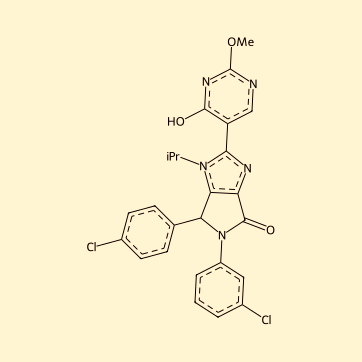 COc1ncc(-c2nc3c(n2C(C)C)C(c2ccc(Cl)cc2)N(c2cccc(Cl)c2)C3=O)c(O)n1